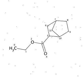 CCOC(=O)C1[CH]C2CCC1C2